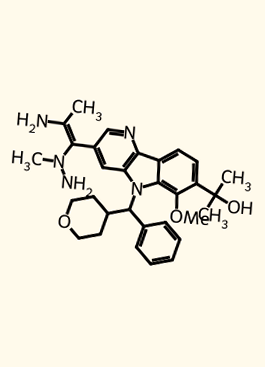 COc1c(C(C)(C)O)ccc2c3ncc(/C(=C(\C)N)N(C)N)cc3n(C(c3ccccc3)C3CCOCC3)c12